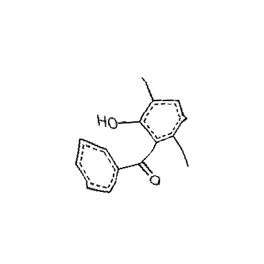 Cc1ccc(C)c(C(=O)c2ccccc2)c1O